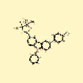 CC1(C)OB(c2ccc3c(c2)c2cc(-c4ccc(C#N)cc4)ccc2n3-c2ccccc2)OC1(C)C